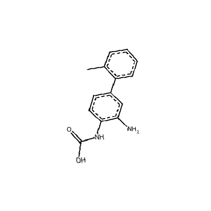 Cc1ccccc1-c1ccc(NC(=O)O)c(N)c1